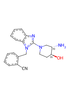 N#Cc1ccccc1Cn1c(N2CC[C@H](O)[C@@H](N)C2)nc2ccccc21